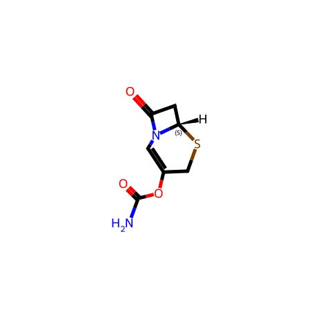 NC(=O)OC1=CN2C(=O)C[C@@H]2SC1